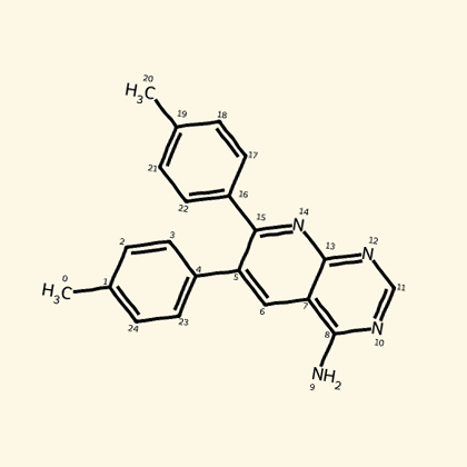 Cc1ccc(-c2cc3c(N)ncnc3nc2-c2ccc(C)cc2)cc1